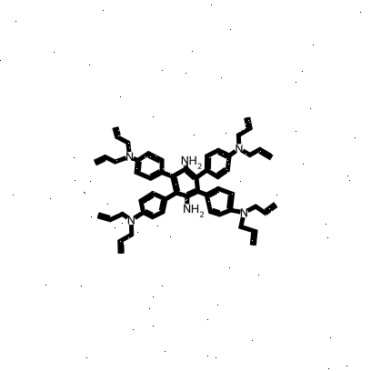 C=CCN(CC=C)c1ccc(-c2c(N)c(-c3ccc(N(CC=C)CC=C)cc3)c(-c3ccc(N(CC=C)CC=C)cc3)c(N)c2-c2ccc(N(CC=C)CC=C)cc2)cc1